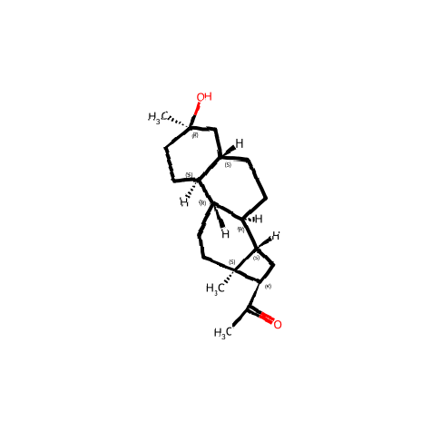 CC(=O)[C@@H]1C[C@H]2[C@@H]3CC[C@H]4C[C@](C)(O)CC[C@@H]4[C@H]3CC[C@]12C